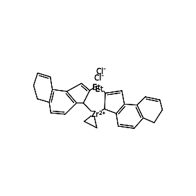 CCC1=Cc2c(ccc3c2C=CCC3)[CH]1[Zr+2]1([CH]2C(CC)=Cc3c2ccc2c3C=CCC2)[CH2][CH2]1.[Cl-].[Cl-]